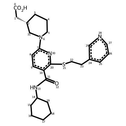 O=C(O)C[C@@H]1CCCN(c2ccc(C(=O)NC3CCCCC3)c(SCCc3cccnc3)n2)C1